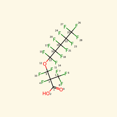 O=C(O)C(F)(C(F)(F)F)C(F)(F)OC(F)(F)C(F)(F)C(F)(F)C(F)(F)C(F)(F)F